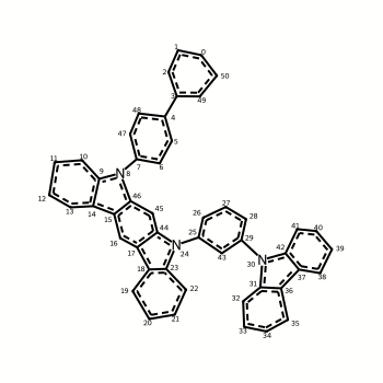 c1ccc(-c2ccc(-n3c4ccccc4c4cc5c6ccccc6n(-c6cccc(-n7c8ccccc8c8ccccc87)c6)c5cc43)cc2)cc1